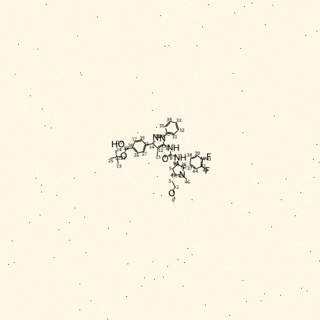 COCC[C@@H]1C[C@@H](NC(=O)Nc2c(C)c(-c3ccc(C(O)OC(C)(C)C)cc3)nn2-c2ccccc2)[C@H](c2ccc(F)c(F)c2)N1C